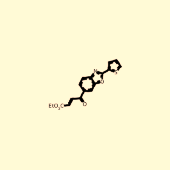 CCOC(=O)/C=C/C(=O)c1ccc2nc(-c3cccs3)oc2c1